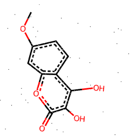 COc1ccc2c(O)c(O)c(=O)oc2c1